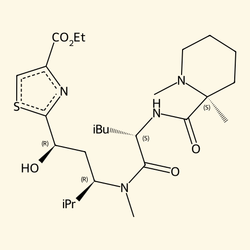 CCOC(=O)c1csc([C@H](O)C[C@H](C(C)C)N(C)C(=O)[C@@H](NC(=O)[C@]2(C)CCCCN2C)C(C)CC)n1